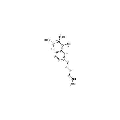 CC(C)(C)NCCCCc1ccc(CC(C(=O)O)N(C=O)OC(C)(C)C)cc1